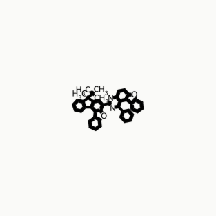 CC(C)(C)C1(C)c2ccccc2-c2c1cc(-c1nc(-c3ccccc3)c3c(ccc4oc5ccccc5c43)n1)c1oc3ccccc3c21